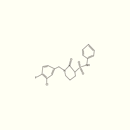 O=C1C(S(=O)(=O)Nc2ccccc2)CCCN1Cc1ccc(F)c(Cl)c1